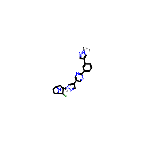 CN1C2CCC1C(F)C(n1cc(-c3cnc(-c4cccc(-c5cnn(C)c5)c4)nc3)cn1)C2